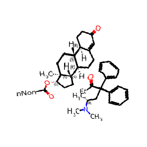 CCC(=O)C(C[C@@H](C)N(C)C)(c1ccccc1)c1ccccc1.CCCCCCCCCC(=O)O[C@H]1CC[C@H]2[C@@H]3CCC4=CC(=O)CC[C@@H]4[C@H]3CC[C@]12C